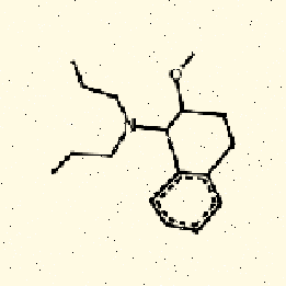 CCCN(CCC)C1c2ccccc2CCC1OC